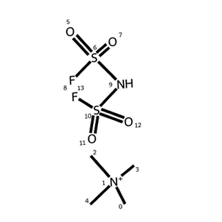 C[N+](C)(C)C.O=S(=O)(F)NS(=O)(=O)F